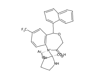 CC(=O)[C@H]1CCN[C@]1(C(=O)O)[N@+]1(CC(C)(C)C)C(=O)COC(c2cccc3ccccc23)c2cc(C(F)(F)F)ccc21